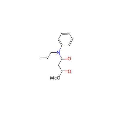 C=CCN(C(=O)CC(=O)OC)c1ccccc1